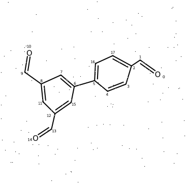 O=Cc1ccc(-c2cc(C=O)cc(C=O)c2)cc1